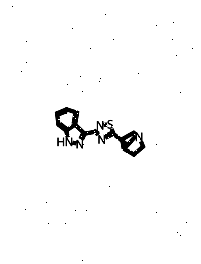 c1ccc2c(-c3nsc(C4CN5CCC4CC5)n3)n[nH]c2c1